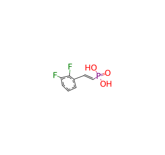 O=P(O)(O)/C=C/c1cccc(F)c1F